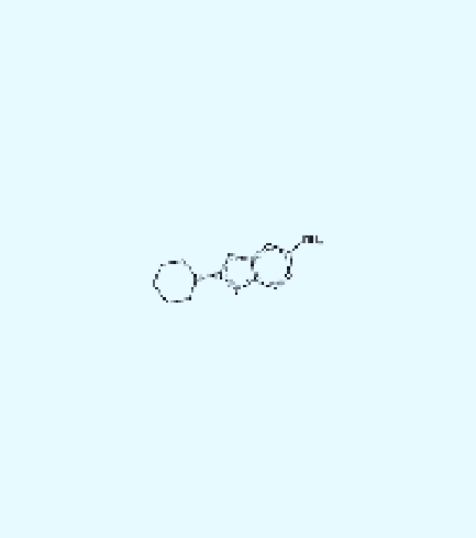 Nc1ccc2nn(N3CCCCC3)cc2c1